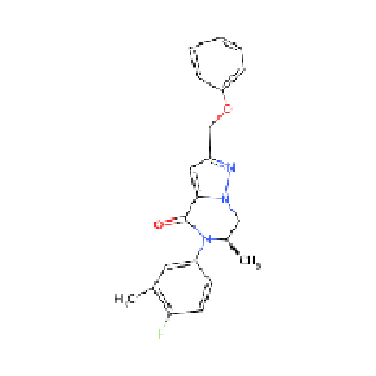 Cc1cc(N2C(=O)c3cc(COc4ccccc4)nn3C[C@H]2C)ccc1F